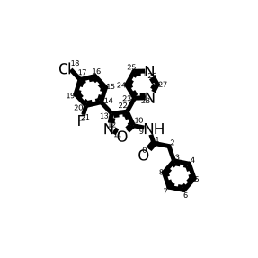 O=C(Cc1ccccc1)Nc1onc(-c2ccc(Cl)cc2F)c1-c1ccncn1